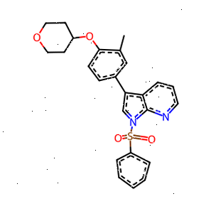 Cc1cc(-c2cn(S(=O)(=O)c3ccccc3)c3ncccc23)ccc1OC1CCOCC1